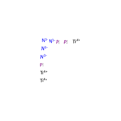 [N-3].[N-3].[N-3].[N-3].[P].[P].[P].[Ti+4].[Ti+4].[Ti+4]